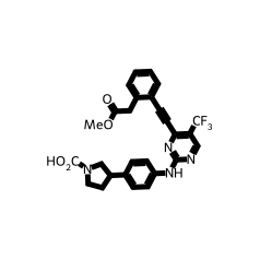 COC(=O)Cc1ccccc1C#Cc1nc(Nc2ccc(C3CCN(C(=O)O)C3)cc2)ncc1C(F)(F)F